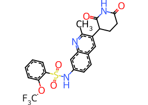 Cc1nc2cc(NS(=O)(=O)c3ccccc3OC(F)(F)F)ccc2cc1C1CCC(=O)NC1=O